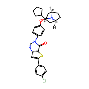 O=c1c2sc(-c3ccc(Cl)cc3)cc2ncn1-c1ccc(O[C@H]2C[C@H]3CC[C@@H](C2)N3CC2CCCC2)cc1